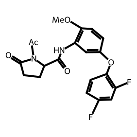 COc1ccc(Oc2ccc(F)cc2F)cc1NC(=O)C1CCC(=O)N1C(C)=O